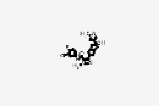 Cn1cc(C2(O)CC3CC(c4ncn(C)c4C(=O)Nc4ccc(F)c(Cl)c4)CC3C2)cn1